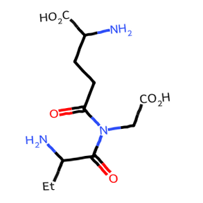 CCC(N)C(=O)N(CC(=O)O)C(=O)CCC(N)C(=O)O